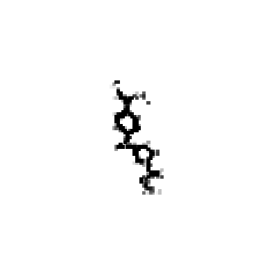 CN(c1ccc(C(N)=NO)cc1)[C@H]1CCN(C(=O)OC(C)(C)C)C1